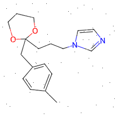 Cc1ccc(CC2(CCCn3ccnc3)OCCCO2)cc1